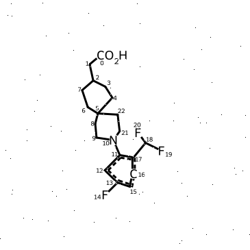 O=C(O)CC1CCC2(CC1)CCN(c1cc(F)ccc1C(F)F)CC2